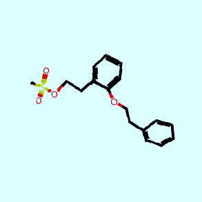 CS(=O)(=O)OCCc1ccccc1OCCc1ccccc1